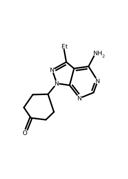 CCc1nn(C2CCC(=O)CC2)c2ncnc(N)c12